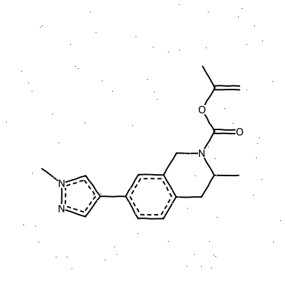 C=C(C)OC(=O)N1Cc2cc(-c3cnn(C)c3)ccc2CC1C